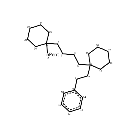 CCCCCC1(CCCCC2(CCc3ccccc3)CCCCC2)CCCCC1